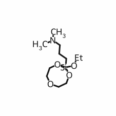 CCO[Si]1(CCCN(C)C)OCCOCCO1